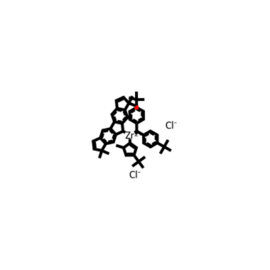 CC1C=C(C(C)(C)C)C=[C]1[Zr+2](=[C](c1ccc(C(C)(C)C)cc1)c1ccc(C(C)(C)C)cc1)[CH]1c2cc3c(cc2-c2cc4c(cc21)C(C)(C)C=C4)C=CC3(C)C.[Cl-].[Cl-]